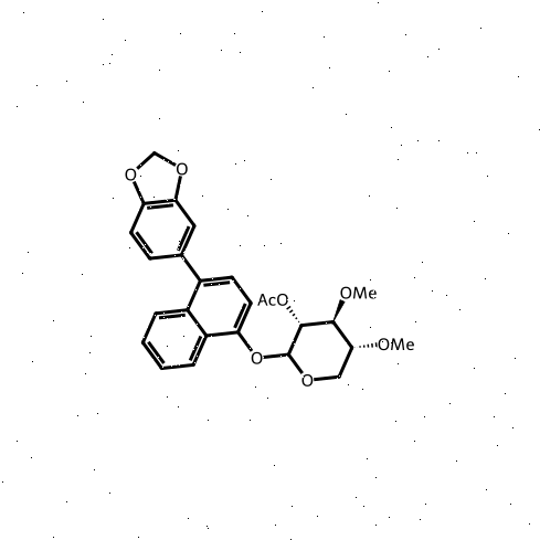 CO[C@H]1[C@H](OC)COC(Oc2ccc(-c3ccc4c(c3)OCO4)c3ccccc23)[C@@H]1OC(C)=O